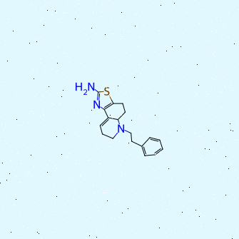 Nc1nc2c(s1)CCC1C2=CCCN1CCc1ccccc1